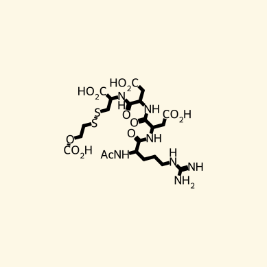 CC(=O)NC(CCCNC(=N)N)C(=O)NC(CC(=O)O)C(=O)NC(CC(=O)O)C(=O)NC(CSSCCOC(=O)O)C(=O)O